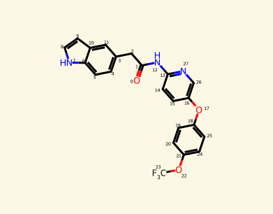 O=C(Cc1ccc2[nH]ccc2c1)Nc1ccc(Oc2ccc(OC(F)(F)F)cc2)cn1